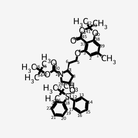 Cc1cc(OCC[C@H]2C[C@H](O[Si](c3ccccc3)(c3ccccc3)C(C)(C)C)CN2C(=O)OC(C)(C)C)c2c(c1)OC(C)(C)OC2=O